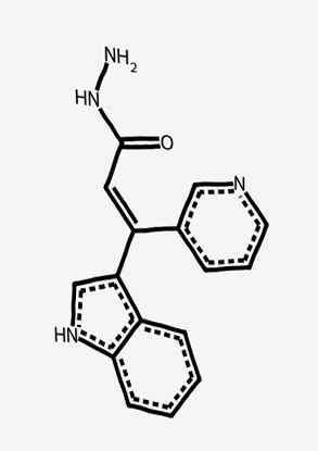 NNC(=O)C=C(c1cccnc1)c1c[nH]c2ccccc12